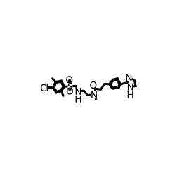 Cc1cc(S(=O)(=O)CNCCN(C)C(=O)CCc2ccc(C3=NCCN3)cc2)c(C)cc1Cl